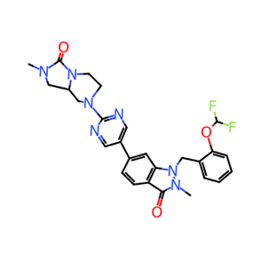 CN1CC2CN(c3ncc(-c4ccc5c(=O)n(C)n(Cc6ccccc6OC(F)F)c5c4)cn3)CCN2C1=O